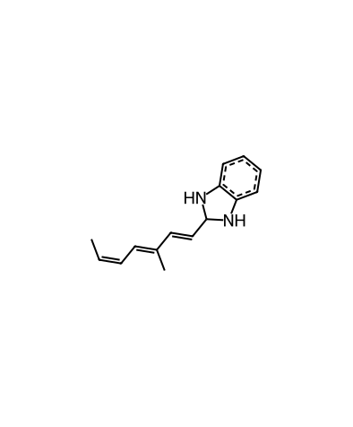 C\C=C/C=C(C)/C=C/C1Nc2ccccc2N1